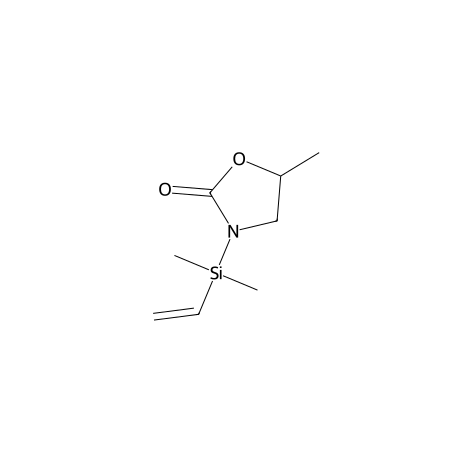 C=C[Si](C)(C)N1CC(C)OC1=O